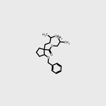 CC(C)CCC1(C(=O)OCC(C)C)CCCC1OCc1ccccc1